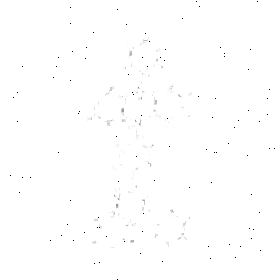 c1ccc(-c2cc(-c3ccc(N4c5ccccc5N(c5ccccc5)c5ccccc54)cc3)nc3ccccc23)cc1